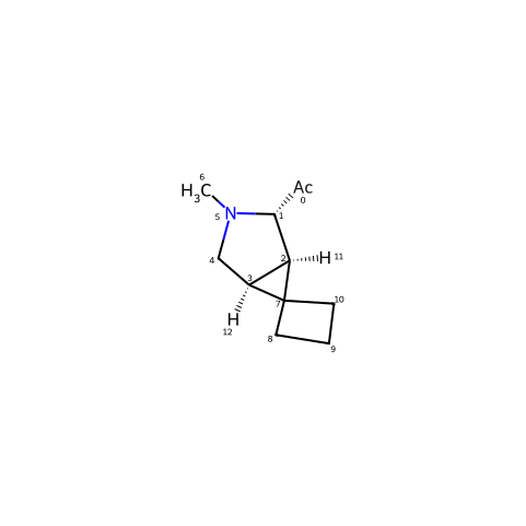 CC(=O)[C@@H]1[C@@H]2[C@H](CN1C)C21CCC1